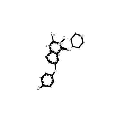 Cc1nc2ccc(Oc3ccc(Cl)cc3)cc2c(=O)n1C[C@H]1CCCNC1